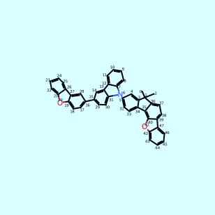 CC1(C)c2cc(-n3c4ccccc4c4cc(-c5ccc6oc7ccccc7c6c5)ccc43)ccc2-c2c1ccc1c2oc2ccccc21